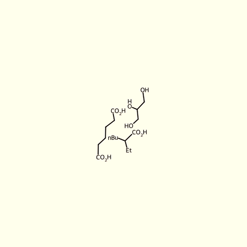 CCCCC(CC)C(=O)O.O=C(O)CCCCC(=O)O.OCC(O)CO